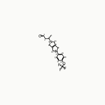 CC(CC=O)N1CC2=C(CN(c3ccc(OC(F)(F)F)cc3)C2)C1